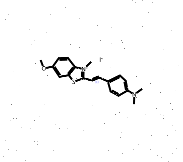 COc1ccc2c(c1)sc(/C=C/c1ccc(N(C)C)cc1)[n+]2C.[I-]